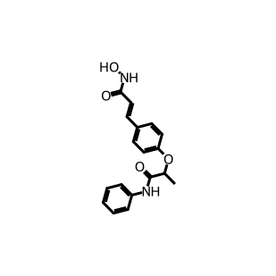 CC(Oc1ccc(/C=C/C(=O)NO)cc1)C(=O)Nc1ccccc1